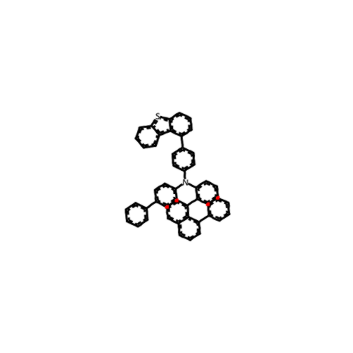 c1ccc(-c2ccc(N(c3ccc(-c4cccc5sc6ccccc6c45)cc3)c3ccccc3-c3cccc4cccc(-c5ccccc5)c34)cc2)cc1